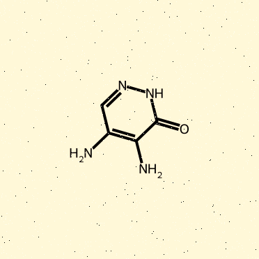 Nc1cn[nH]c(=O)c1N